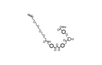 COC(=O)c1ccc(OC[C@@H]2C[C@H](F)CN2C(=O)Cc2ccc(NC(=O)Nc3ccc(CNC(=O)CCOCCOCCOCCOCCN=[N+]=[N-])cc3)cc2)cc1